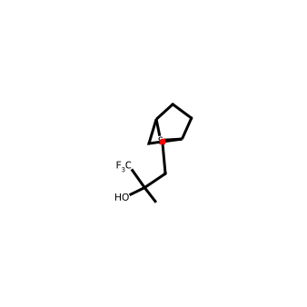 CC(O)(CC1CC2CCC1S2)C(F)(F)F